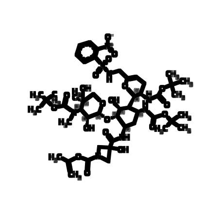 C=C(C)OC(=O)N1CC(O)(C(=O)N[C@@H]2C[C@H](NC(=O)OC(C)(C)C)C([C@H]3OC(CNS(=O)(=O)c4ccccc4[N+](=O)[O-])=CC[C@H]3NC(=O)OC(C)(C)C)[C@H](O)[C@H]2O[C@H]2OC[C@](C)(O)[C@H](N(C)C(=O)OC(C)(C)C)[C@H]2O)C1